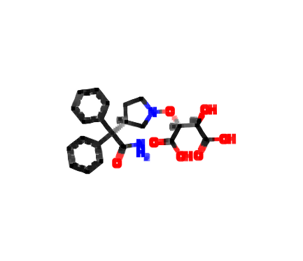 NC(=O)C(c1ccccc1)(c1ccccc1)[C@@H]1CCN(O[C@@H](C(=O)O)[C@@H](O)C(=O)O)C1